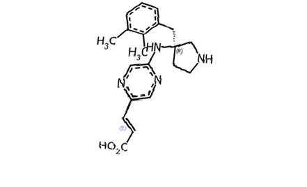 Cc1cccc(C[C@@]2(Nc3cnc(/C=C/C(=O)O)cn3)CCNC2)c1C